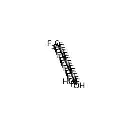 OC(F)(F)C(O)(F)C(F)(F)C(F)(F)C(F)(F)C(F)(F)C(F)(F)C(F)(F)C(F)(F)C(F)(F)C(F)(F)C(F)(F)C(F)(F)C(F)(F)C(F)(F)C(F)(F)F